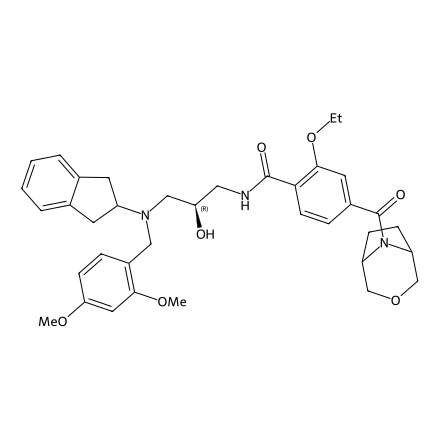 CCOc1cc(C(=O)N2C3CCC2COC3)ccc1C(=O)NC[C@@H](O)CN(Cc1ccc(OC)cc1OC)C1Cc2ccccc2C1